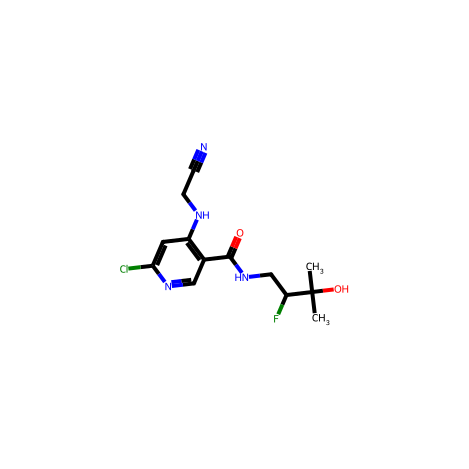 CC(C)(O)C(F)CNC(=O)c1cnc(Cl)cc1NCC#N